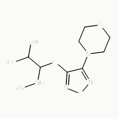 CCCCNC(Oc1nsnc1N1CCOCC1)C(C)O